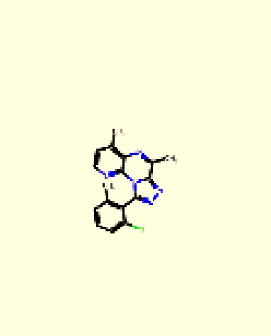 Cc1cccc(Cl)c1-c1nnc2c(C)nc3c(C)ccnc3n12